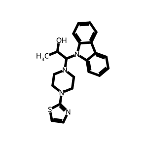 CC(O)C(N1CCN(c2nccs2)CC1)n1c2ccccc2c2ccccc21